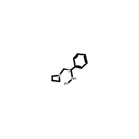 CC(C)N[C@@H](CN1CCC1)c1ccccc1